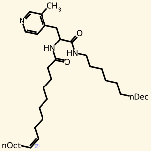 CCCCCCCC/C=C\CCCCCCCC(=O)NC(Cc1ccncc1C)C(=O)NCCCCCCCCCCCCCCCC